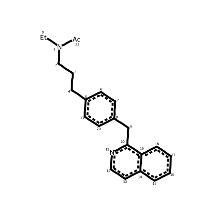 CCN(CCCc1ccc(Cc2nccc3ccccc23)cc1)C(C)=O